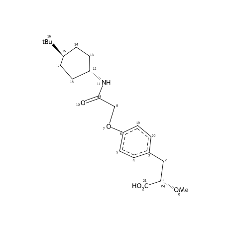 CO[C@@H](Cc1ccc(OCC(=O)N[C@H]2CC[C@H](C(C)(C)C)CC2)cc1)C(=O)O